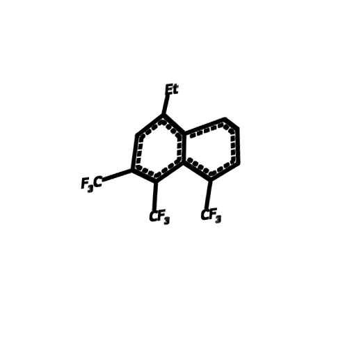 [CH2]Cc1cc(C(F)(F)F)c(C(F)(F)F)c2c(C(F)(F)F)cccc12